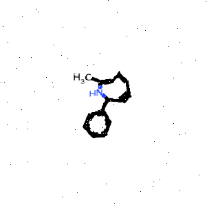 C/C1=C\C=C/C#CC(c2ccccc2)N1